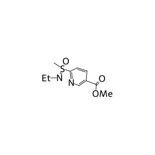 CCN=S(C)(=O)c1ccc(C(=O)OC)cn1